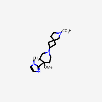 COC1(c2nccn2C)CCN(C2CC3(CCN(C(=O)O)C3)C2)CC1